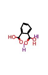 I.I.O=C(O)c1ccccc1C(=O)O